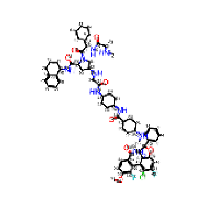 CN[C@@H](C)C(=O)N[C@H](C(=O)N1C[C@@H](NCC(=O)NC2CCC(NC(=O)C3CCC(NC[C@]4(c5ccccc5)Oc5cc(F)c(Cl)c(-c6c(C(N)=O)ccc(OC)c6F)c5[C@@H]4C)CC3)CC2)C[C@H]1C(=O)N[C@@H]1CCCc2ccccc21)C1CCCCC1